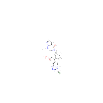 CCCN1CCN(Cc2cc(C(CC(=O)O)c3ccn4c(C(F)(F)F)nnc4c3)ccc2C)[S+]([O-])c2cccnc21